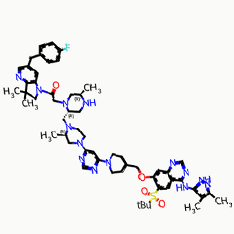 Cc1n[nH]c(Nc2ncnc3cc(OCC4CCN(c5cc(N6CCN(C[C@H]7CN[C@H](C)CN7CC(=O)N7CC(C)(C)c8ncc(Cc9ccc(F)cc9)cc87)[C@H](C)C6)ncn5)CC4)c(S(=O)(=O)C(C)(C)C)cc23)c1C